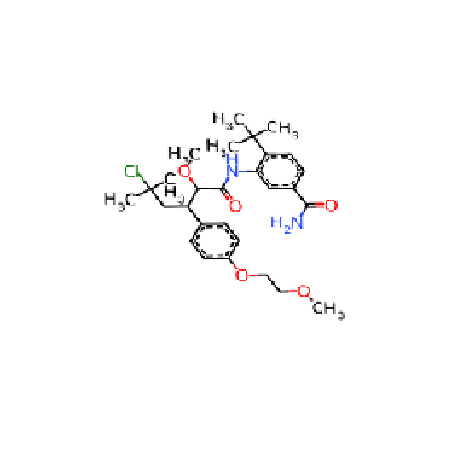 COCCOc1ccc(C(CC(C)(C)Cl)C(OC)C(=O)Nc2cc(C(N)=O)ccc2C(C)(C)C)cc1